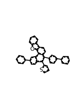 c1ccc(-c2ccc(-c3c(-c4cccs4)c4ccc(-c5ccccc5)cc4c4c3ccc3c5ccccc5oc34)cc2)cc1